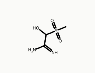 CS(=O)(=O)C(O)C(=N)N